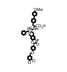 CC[C@@H](c1ccccc1)N1Cc2cc3c(cc2C[C@H]1C(=O)NC(Cc1ccc(-c2ccc(OC)cc2)cc1)C(=O)O)N(C)C(=O)[C@@H](c1ccc(OCc2ccc(Cl)c(Cl)c2)cc1)O3